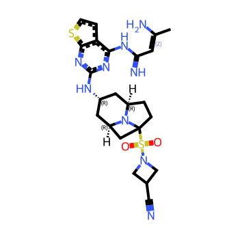 C/C(N)=C/C(=N)Nc1nc(N[C@@H]2C[C@H]3CCC4(S(=O)(=O)N5CC(C#N)C5)C[C@@H](C2)N34)nc2sccc12